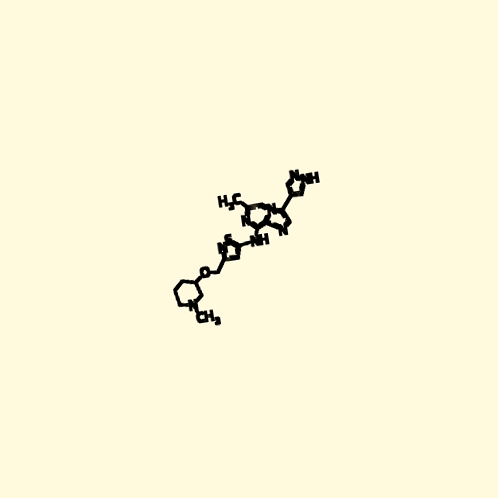 Cc1cn2c(-c3cn[nH]c3)cnc2c(Nc2cc(COC3CCCN(C)C3)ns2)n1